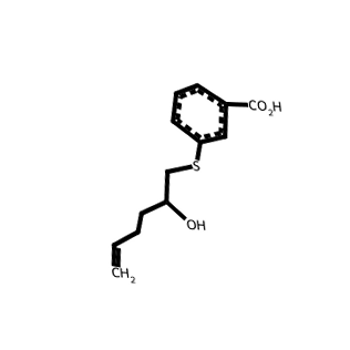 C=CCCC(O)CSc1cccc(C(=O)O)c1